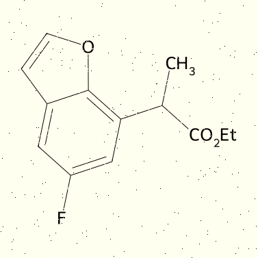 CCOC(=O)C(C)c1cc(F)cc2ccoc12